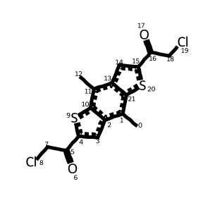 Cc1c2cc(C(=O)CCl)sc2c(C)c2cc(C(=O)CCl)sc12